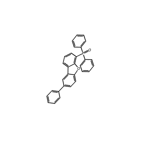 O=P(c1ccccc1)(c1ccccc1)c1cccc2c1oc1ccc(-c3ccccc3)cc12